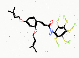 CC(C)=CCOc1ccc(C=CC(=O)Nc2c(SF)c(SF)c(SF)c(SF)c2SF)c(OCC=C(C)C)c1